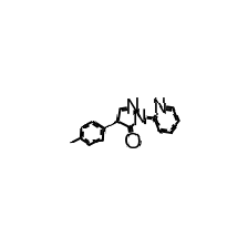 Cc1ccc(C2C=NN(c3ccccn3)C2=O)cc1